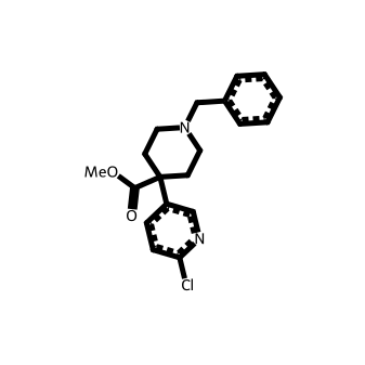 COC(=O)C1(c2ccc(Cl)nc2)CCN(Cc2ccccc2)CC1